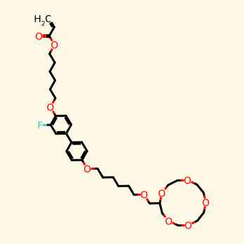 C=CC(=O)OCCCCCCOc1ccc(-c2ccc(OCCCCCCOCC3COCOCCOCCOCCO3)cc2)cc1F